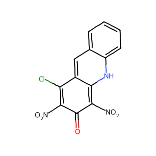 O=c1c([N+](=O)[O-])c2[nH]c3ccccc3cc-2c(Cl)c1[N+](=O)[O-]